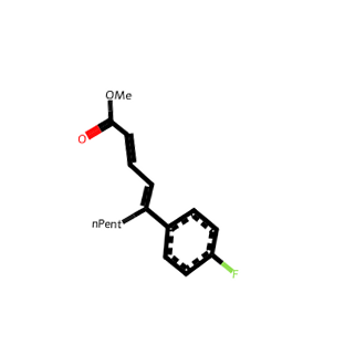 CCCCC/C(=C\C=C\C(=O)OC)c1ccc(F)cc1